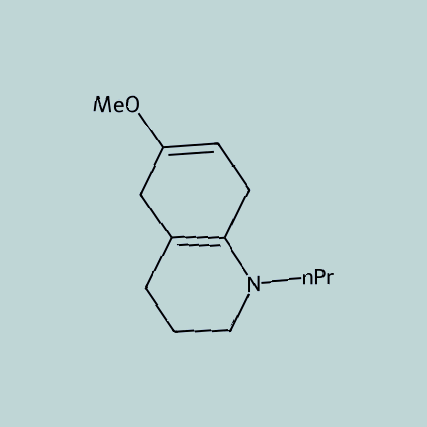 CCCN1CCCC2=C1CC=C(OC)C2